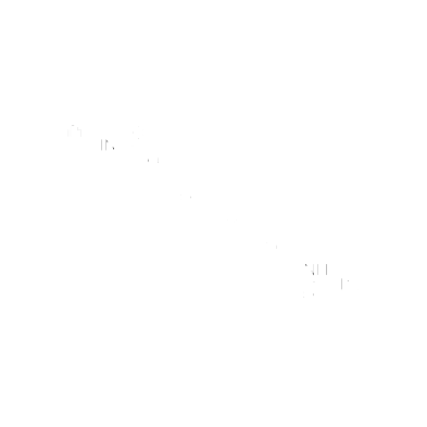 CCC(C)C(=O)NCCOCCOCCOCCOCC(=O)NCC(C)C